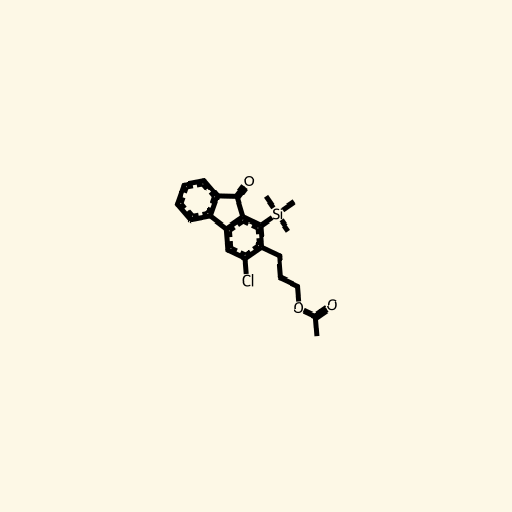 CC(=O)OCCCc1c(Cl)cc2c(c1[Si](C)(C)C)C(=O)c1ccccc1-2